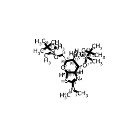 CN(C)C1=N[C@@H]2[C@@H](O[Si](C)(C)C(C)(C)C)[C@H](O)[C@@H](CO[Si](C)(C)C(C)(C)C)O[C@@H]2S1